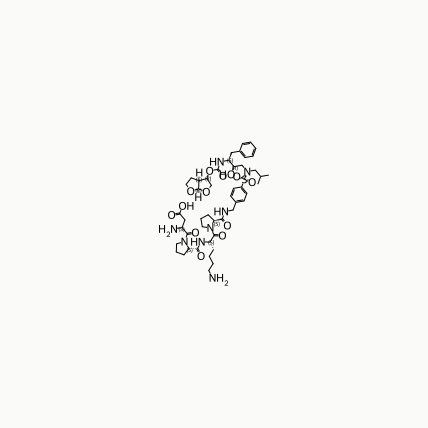 CC(C)CN(C[C@@H](O)[C@H](Cc1ccccc1)NC(=O)O[C@H]1CO[C@H]2OCC[C@H]21)S(=O)(=O)c1ccc(CNC(=O)[C@@H]2CCCN2C(=O)[C@H](CCCCN)NC(=O)[C@@H]2CCCN2C(=O)[C@@H](N)CC(=O)O)cc1